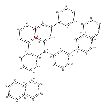 c1ccc(-c2cccc(N(c3cccc(-c4ccc5ccccc5c4)c3)c3cc(-c4cccc5ccccc45)ccc3-c3ccccc3)c2)cc1